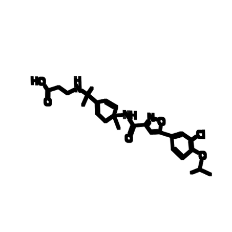 CC(C)Oc1ccc(-c2cc(C(=O)NC3(C)C=CC(C(C)(C)NCCC(=O)O)=CC3)no2)cc1Cl